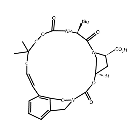 CC1(C)C/C=C\c2cccc3c2CN(C3)C(=O)O[C@@H]2C[C@@H](C(=O)O)N(C2)C(=O)[C@H](C(C)(C)C)NC(=O)OC1